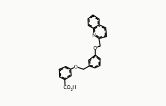 O=C(O)c1cccc(OCc2cccc(OCc3ccc4ccccc4n3)c2)c1